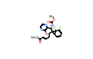 COC(=O)/C=C/CCC1([C@H](NC(=O)OC(C)(C)C)c2nccnc2Br)C2C=CC=C(F)C21F